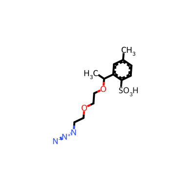 Cc1ccc(S(=O)(=O)O)c(C(C)OCCOCCN=[N+]=[N-])c1